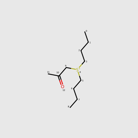 CCCC[S+](CCCC)CC(C)=O